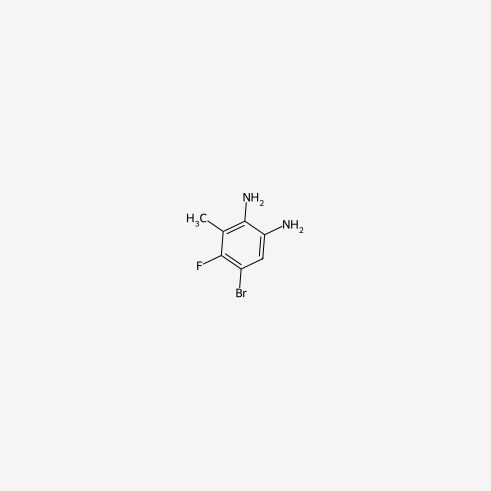 Cc1c(N)c(N)cc(Br)c1F